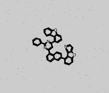 c1ccc(-c2nc(-c3cccc4cc(-c5cccc6oc7ccncc7c56)ccc34)cc(-c3cccc4oc5ccccc5c34)n2)cc1